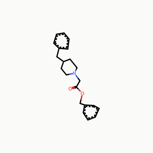 O=C(CN1CCC(Cc2ccccc2)CC1)OCc1ccccc1